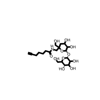 C#CCCCCC(=O)NCC1(CO)CC(O)C(O)[C@@H](O[C@H]2OC(CO)[C@@H](O)C(O)C2O)O1